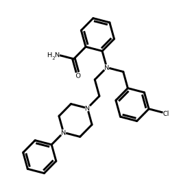 NC(=O)c1ccccc1N(CCN1CCN(c2ccccc2)CC1)Cc1cccc(Cl)c1